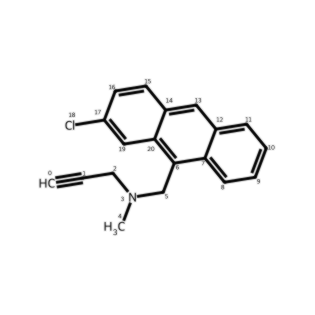 C#CCN(C)Cc1c2ccccc2cc2ccc(Cl)cc12